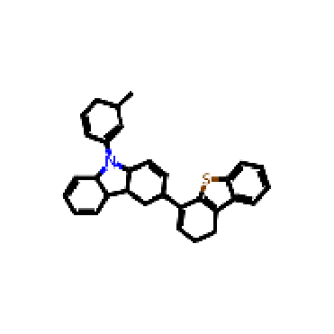 CC1C=C(N2C3C=CC=CC3C3CC(C4=CCCc5c4sc4ccccc54)C=CC32)C=CC1